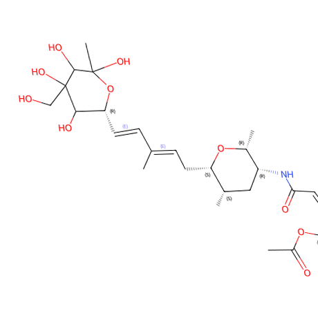 CC(=O)O[C@@H](C)/C=C\C(=O)N[C@@H]1C[C@H](C)[C@H](C/C=C(C)/C=C/[C@H]2OC(C)(O)C(O)C(O)(CO)C2O)O[C@@H]1C